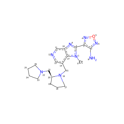 CCn1c(-c2nonc2N)nc2cncc(CN3CCC[C@H]3CN3CCCC3)c21